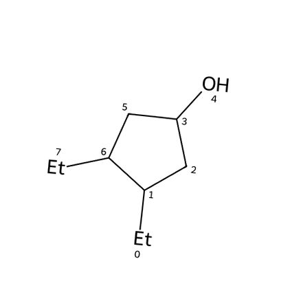 [CH2]CC1CC(O)CC1CC